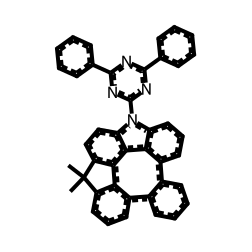 CC1(C)c2cccc3c4ccccc4c4cccc5c4c4c(c1ccc4n5-c1nc(-c4ccccc4)nc(-c4ccccc4)n1)c23